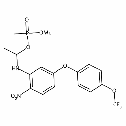 COP(C)(=O)OC(C)Nc1cc(Oc2ccc(OC(F)(F)F)cc2)ccc1[N+](=O)[O-]